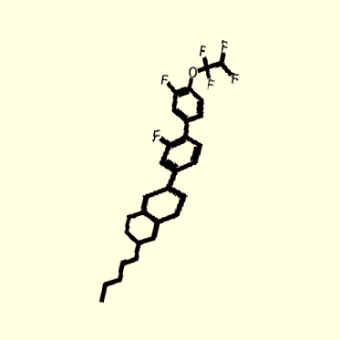 CCCCCC1CCC2CC(c3ccc(-c4ccc(OC(F)(F)C(F)F)c(F)c4)c(F)c3)CCC2C1